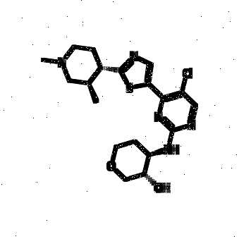 C[C@H]1CN(C)CC[C@@H]1c1ncc(-c2nc(N[C@@H]3CCOC[C@H]3O)ncc2Cl)s1